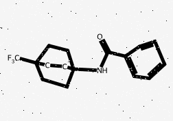 O=C(NC12CCC(C(F)(F)F)(CC1)CC2)c1ccccc1